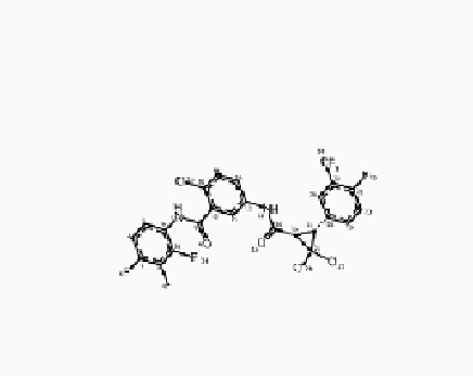 Cc1c(F)ccc(NC(=O)c2cc(NC(=O)[C@H]3[C@H](c4ccc(F)c(C(F)(F)F)c4)C3(Cl)Cl)ccc2Cl)c1F